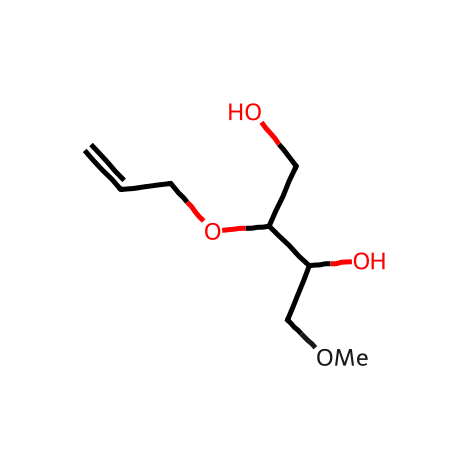 C=CCOC(CO)C(O)COC